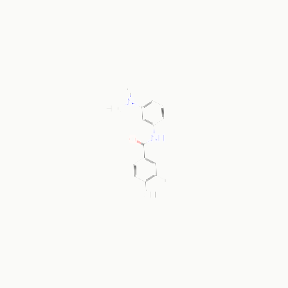 Cc1ccc(C(=O)Nc2cccc(N(C)C)c2)cc1C